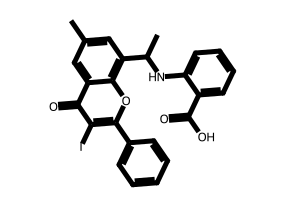 Cc1cc(C(C)Nc2ccccc2C(=O)O)c2oc(-c3ccccc3)c(I)c(=O)c2c1